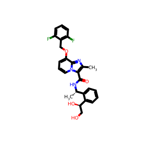 Cc1nc2c(OCc3c(F)cccc3F)cccn2c1C(=O)N[C@@H](C)c1ccccc1[C@H](O)CO